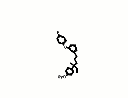 C=CC(C)(CCCc1cccc(Oc2ccc(F)cc2)c1)c1ccc(OC(C)C)cc1